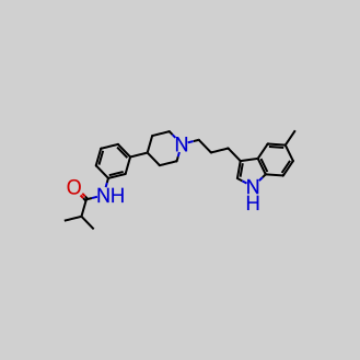 Cc1ccc2[nH]cc(CCCN3CCC(c4cccc(NC(=O)C(C)C)c4)CC3)c2c1